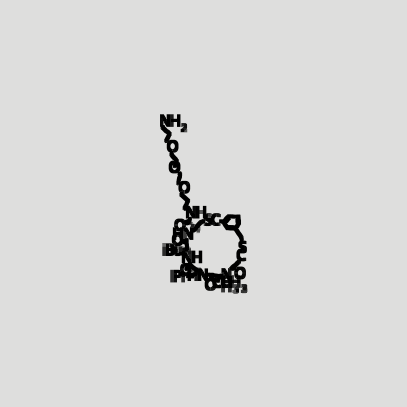 CC[C@H](C)[C@@H]1NC(=O)[C@H](CC(C)C)NC(=O)C(C)(C)NC(=O)CCSCc2cccc(c2)CSC[C@@H](C(=O)NCCCOCCOCCOCCCN)NC1=O